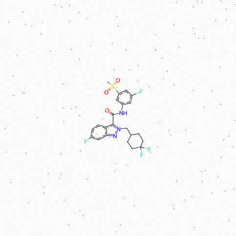 CS(=O)(=O)c1cc(F)cc(NC(=O)c2c3ccc(F)cc3nn2CC2CCC(F)(F)CC2)c1